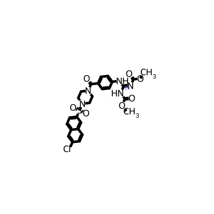 COC(=O)/N=C(/NC(=O)OC)Nc1ccc(C(=O)N2CCN(S(=O)(=O)c3ccc4cc(Cl)ccc4c3)CC2)cc1